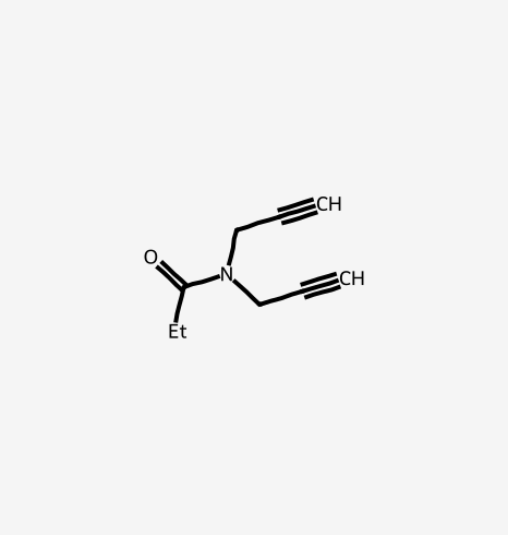 C#CCN(CC#C)C(=O)CC